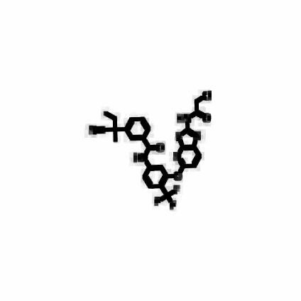 CCC(C)(C#N)c1cccc(C(=O)Nc2ccc(C(F)(F)F)c(Oc3ccc4nc(NC(=O)CCl)sc4n3)c2)c1